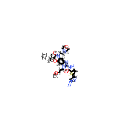 CCOCCCn1c(NC(=O)c2ccc(-c3cn[nH]c3)s2)nc2cc3c(cc21)OC(C)(C)C(=O)N3CCN1CCOCC1